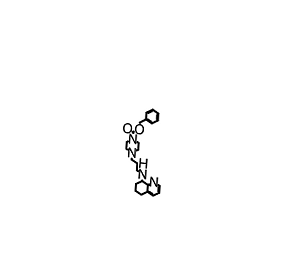 O=C(OCc1ccccc1)N1CCN(CCCN[C@H]2CCCc3cccnc32)CC1